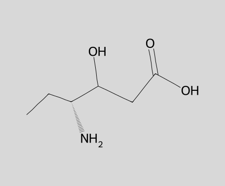 CC[C@@H](N)C(O)CC(=O)O